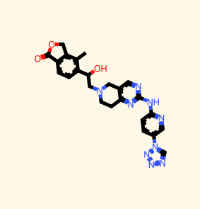 Cc1c(C(O)CN2CCc3nc(Nc4ccc(-n5cnnn5)cn4)ncc3C2)ccc2c1COC2=O